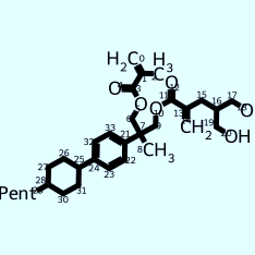 C=C(C)C(=O)OCC(C)(COC(=O)C(=C)CC(CO)CO)c1ccc(C2CCC(CCCCC)CC2)cc1